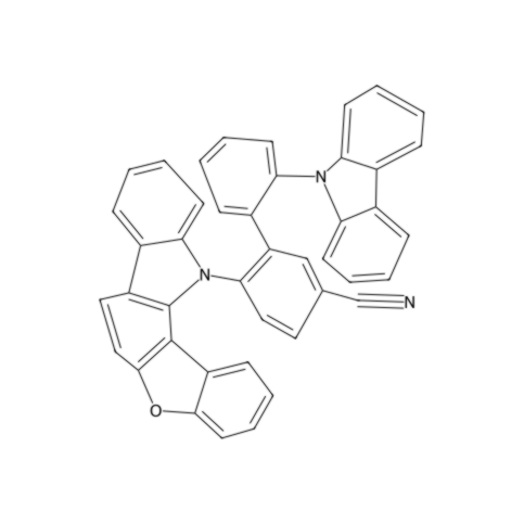 N#Cc1ccc(-n2c3ccccc3c3ccc4oc5ccccc5c4c32)c(-c2ccccc2-n2c3ccccc3c3ccccc32)c1